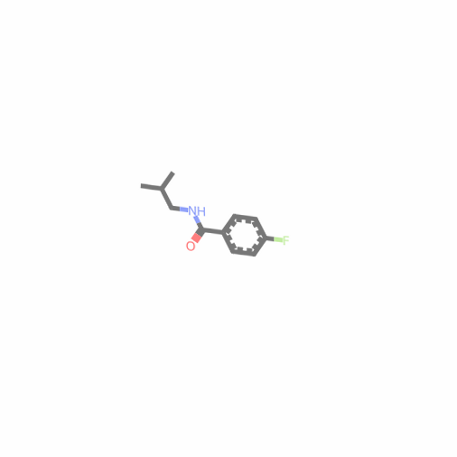 CC(C)CNC(=O)c1ccc(F)cc1